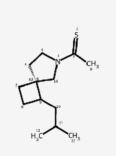 CC(=S)N1CC[C@]2(CCC2CC(C)C)C1